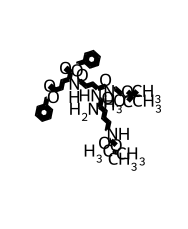 CC(C)(C)OC(=O)CNC(=O)C(CCC(=O)NC(CCC(=O)OCc1ccccc1)C(=O)OCc1ccccc1)NC(=O)C(N)CCCCNC(=O)OC(C)(C)C